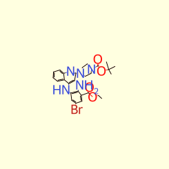 CCOC(=O)c1cc(Br)cc(Nc2cc(N3CCN(C(=O)OC(C)(C)C)CC3)nc3ccccc23)c1N